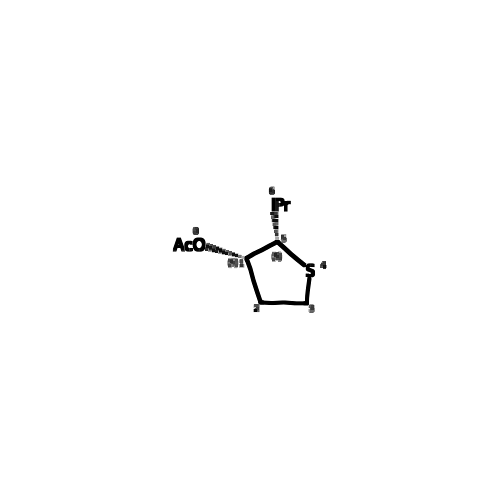 CC(=O)O[C@H]1CCS[C@H]1C(C)C